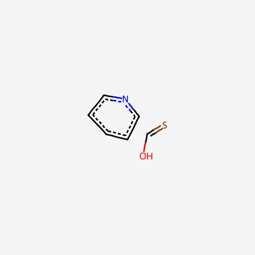 OC=S.c1ccncc1